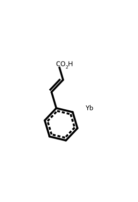 O=C(O)C=Cc1ccccc1.[Yb]